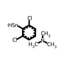 CN(C)C.Clc1cccc(Cl)[c]1[SnH]